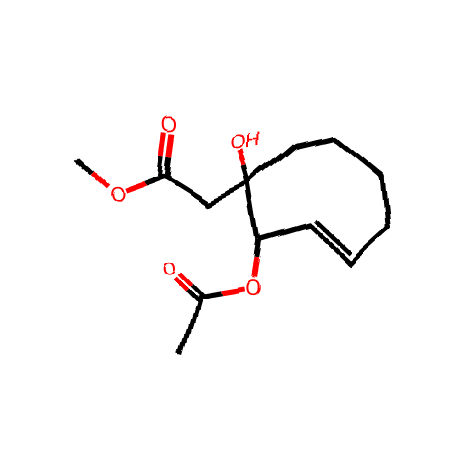 COC(=O)CC1(O)CCCC/C=C/C1OC(C)=O